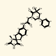 CN1C(=O)NC(=O)[C@]12Cc1ccc(NC(=O)CN3C[C@H](c4ccccc4)CC(Cl)(I)C3=O)cc1C2